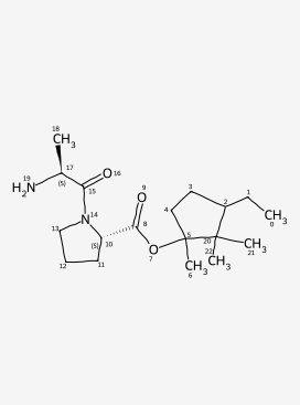 CCC1CCC(C)(OC(=O)[C@@H]2CCCN2C(=O)[C@H](C)N)C1(C)C